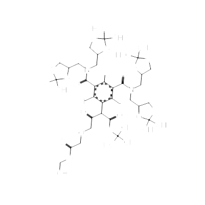 CCOC(=O)COCC(=O)C(C(=O)OC(C)(C)C)c1c(I)c(C(=O)N(CC2COC(C)(C)O2)CC2COC(C)(C)O2)c(I)c(C(=O)N(CC2COC(C)(C)O2)CC2COC(C)(C)O2)c1I